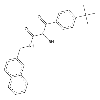 CC(C)(C)c1ccc(C(=O)N(S)C(=O)NCc2ccc3ccccc3c2)cc1